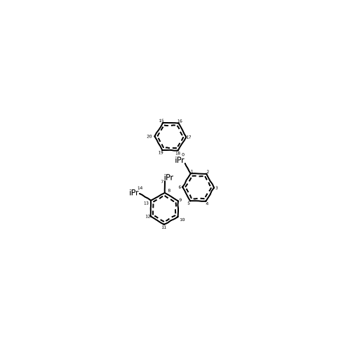 CC(C)c1ccccc1.CC(C)c1ccccc1C(C)C.c1ccccc1